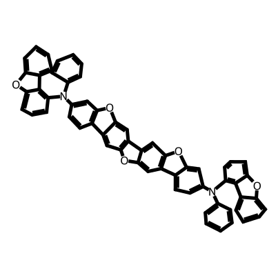 c1ccc(N(c2ccc3c(c2)oc2cc4c(cc23)oc2cc3c(cc24)oc2cc(N(c4ccccc4)c4cccc5oc6ccccc6c45)ccc23)c2cccc3oc4ccccc4c23)cc1